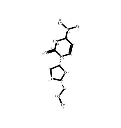 CCOC[C@H]1O[C@@H](N2C=CC(N(CC)CC)NC2=O)CS1